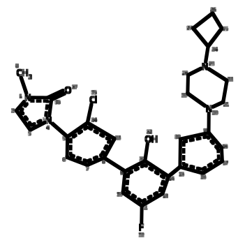 Cn1ccn(-c2ccc(-c3cc(F)cc(-c4cccc(N5CCN(C6CCC6)CC5)c4)c3O)cc2Cl)c1=O